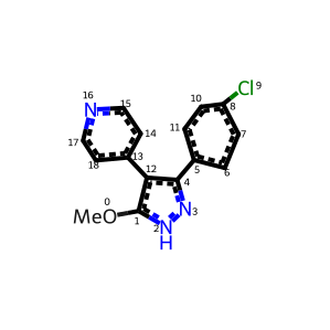 COc1[nH]nc(-c2ccc(Cl)cc2)c1-c1ccncc1